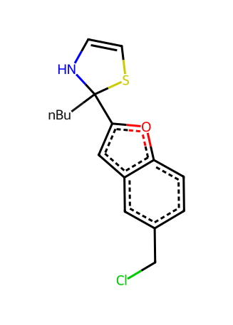 CCCCC1(c2cc3cc(CCl)ccc3o2)NC=CS1